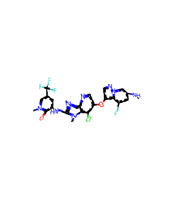 CNc1cc(F)c2c(Oc3cnc4nc(Nc5cc(C(F)(F)F)cn(C)c5=O)n(C)c4c3Cl)cnn2c1